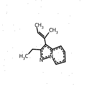 C/C=C(\C)c1c(CC)nn2ccccc12